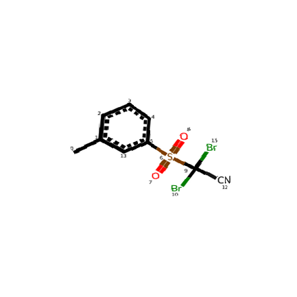 Cc1cccc(S(=O)(=O)C(Br)(Br)C#N)c1